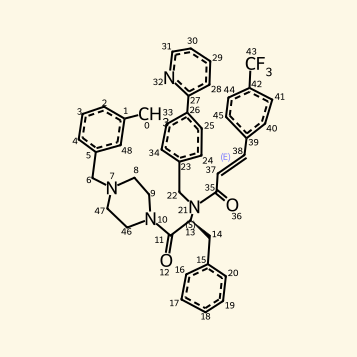 Cc1cccc(CN2CCN(C(=O)[C@H](Cc3ccccc3)N(Cc3ccc(-c4ccccn4)cc3)C(=O)/C=C/c3ccc(C(F)(F)F)cc3)CC2)c1